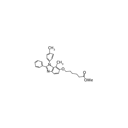 COC(=O)CCCCCOc1ccc2nc(-c3ccccc3)n(-c3ccc(C)cc3)c2c1C